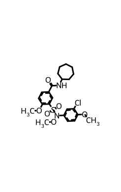 COc1ccc(N(OC)S(=O)(=O)c2cc(C(=O)NC3CCCCCC3)ccc2OC)cc1Cl